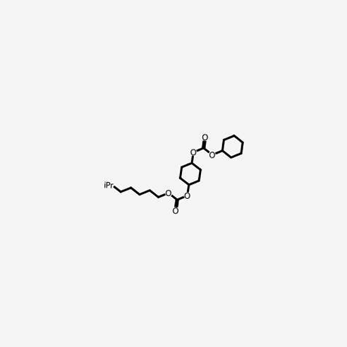 CC(C)CCCCCOC(=O)OC1CCC(OC(=O)OC2CCCCC2)CC1